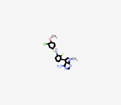 COc1ccc(SNc2cccc(-c3cn(C)c4ncnc(N)c34)c2F)cc1Cl